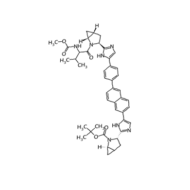 COC(=O)NC(C(=O)N1[C@@H]2C[C@@H]2C[C@H]1c1ncc(-c2ccc(-c3ccc4cc(-c5cnc([C@@H]6CC7C[C@H]7N6C(=O)OC(C)(C)C)[nH]5)ccc4c3)cc2)[nH]1)C(C)C